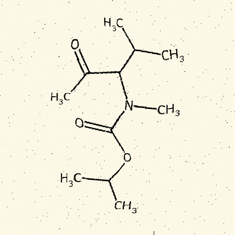 CC(=O)C(C(C)C)N(C)C(=O)OC(C)C